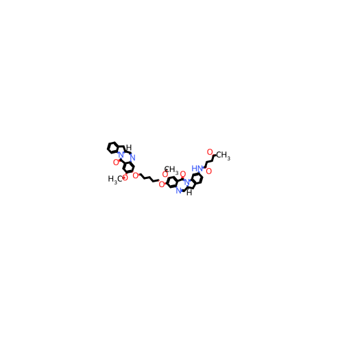 COc1cc2c(cc1OCCCCCOc1cc3c(cc1OC)C(=O)N1c4cc(NC(=O)CCC(C)=O)ccc4C[C@H]1C=N3)N=C[C@@H]1Cc3ccccc3N1C2=O